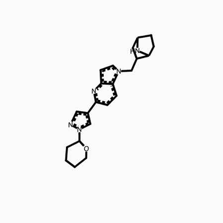 c1nn(C2CCCCO2)cc1-c1ccc2c(ccn2CC2CC3CCC2N3)n1